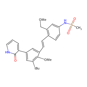 COCc1cc(NS(C)(=O)=O)ccc1C=Cc1cc(-c2ccc[nH]c2=O)cc(C(C)(C)C)c1OC